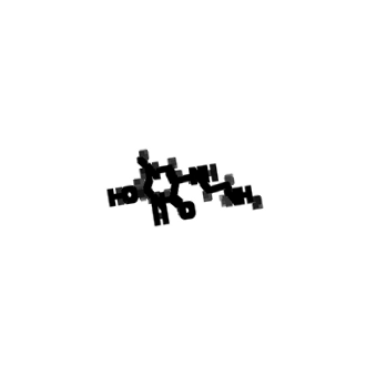 CN1C=C(NCCN)C(=O)N[C@@H]1O